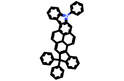 C1=Cc2c3c(cc4c2c2ccccc2n4-c2ccccc2)C=CC2C4=C(C=C1C32)C(c1ccccc1)(c1ccccc1)c1ccccc14